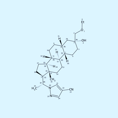 CCOC[C@@]1(O)CC[C@H]2[C@H](CC[C@@H]3[C@@H]2CC[C@]2(C)[C@@H]([C@@H](C)n4cc(C#N)cn4)CC[C@@H]32)C1